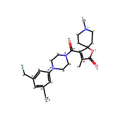 CCN1CCC2(CC1)OC(=O)C(C)=C2C(=O)N1CCN(c2cc(CF)cc(C(F)(F)F)c2)CC1